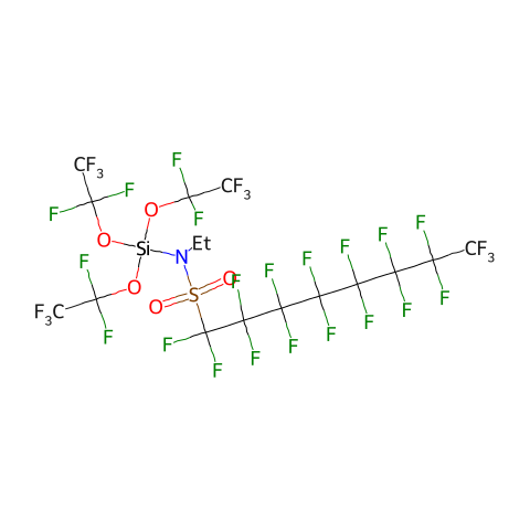 CCN([Si](OC(F)(F)C(F)(F)F)(OC(F)(F)C(F)(F)F)OC(F)(F)C(F)(F)F)S(=O)(=O)C(F)(F)C(F)(F)C(F)(F)C(F)(F)C(F)(F)C(F)(F)C(F)(F)C(F)(F)F